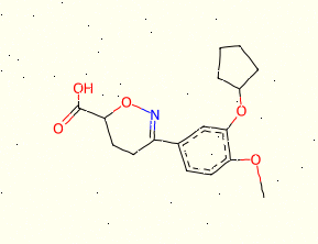 COc1ccc(C2=NOC(C(=O)O)CC2)cc1OC1CCCC1